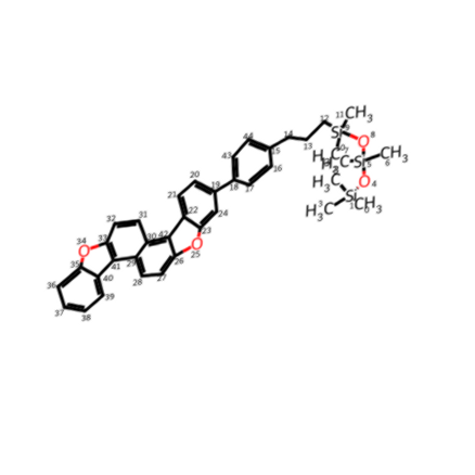 C[Si](C)(C)O[Si](C)(C)O[Si](C)(C)CCCc1ccc(-c2ccc3c(c2)oc2ccc4c(ccc5oc6ccccc6c54)c23)cc1